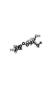 Cc1c(COc2cc(OCc3cncc(C#N)c3)c(CNCCO)cc2Cl)cccc1-c1cccc(-c2ccn3c(=O)c(CN(CCO)C(=O)O)cnc3c2)c1